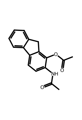 CC(=O)Nc1ccc2c(c1OC(C)=O)Cc1ccccc1-2